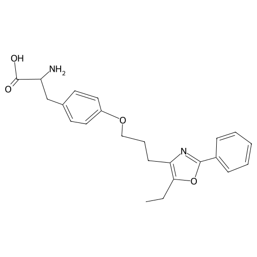 CCc1oc(-c2ccccc2)nc1CCCOc1ccc(CC(N)C(=O)O)cc1